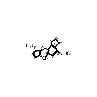 C[C@H]1C=CC=C1Oc1c(Cl)cc(C=O)c2c1CCC2